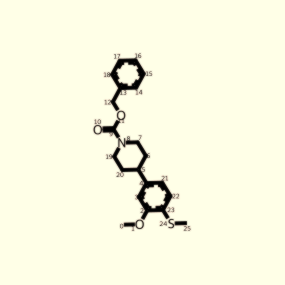 COc1cc(C2CCN(C(=O)OCc3ccccc3)CC2)ccc1SC